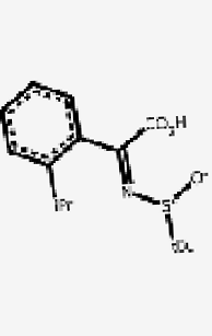 CC(C)c1ccccc1C(=N[S+]([O-])C(C)(C)C)C(=O)O